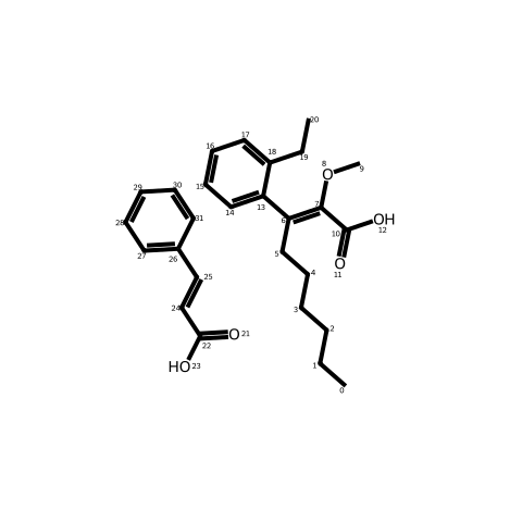 CCCCCCC(=C(OC)C(=O)O)c1ccccc1CC.O=C(O)C=Cc1ccccc1